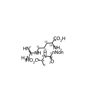 CCCCCCCCCC(=O)N[C@@H](C)C(=O)O.N=C(N)NCCCC(N)C(=O)O